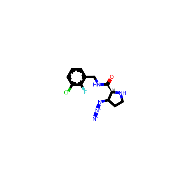 [N-]=[N+]=NC1CCN[C@@H]1C(=O)NCc1cccc(Cl)c1F